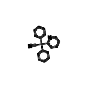 N#CC(c1ccccc1)(c1ccccc1)c1ccccn1